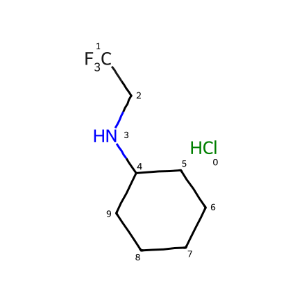 Cl.FC(F)(F)CNC1CCCCC1